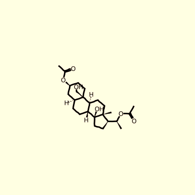 CC(=O)O[C@H]1CC[C@@]2(CO)[C@@H](CC[C@@H]3[C@@H]2CC[C@]2(C)[C@@H]([C@H](C)OC(C)=O)CC[C@]32O)C1